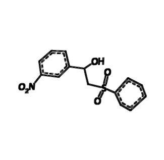 O=[N+]([O-])c1cccc(C(O)CS(=O)(=O)c2ccccc2)c1